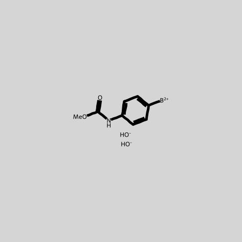 [B+2]c1ccc(NC(=O)OC)cc1.[OH-].[OH-]